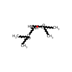 CCCCCCCC(CCCCCCC)C(=O)OCCCCCC1CNCC(CCCCCOC(=O)C(CCCCCCC)CCCCCCC)N1